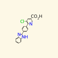 O=C(O)c1cnc(-c2ccc(-c3nc4ccccc4[nH]3)cc2)c(Cl)c1